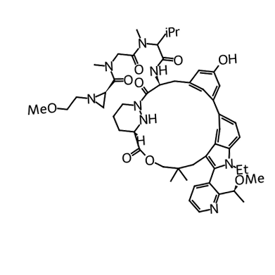 CCn1c(-c2cccnc2[C@H](C)OC)c2c3cc(ccc31)-c1cc(O)cc(c1)C[C@H](NC(=O)C(C(C)C)N(C)C(=O)CN(C)C(=O)[C@H]1CN1CCOC)C(=O)N1CCC[C@H](N1)C(=O)OCC(C)(C)C2